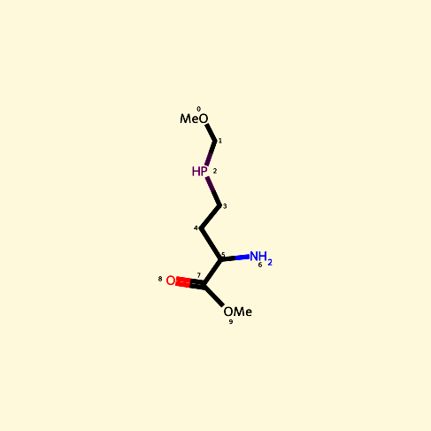 COCPCCC(N)C(=O)OC